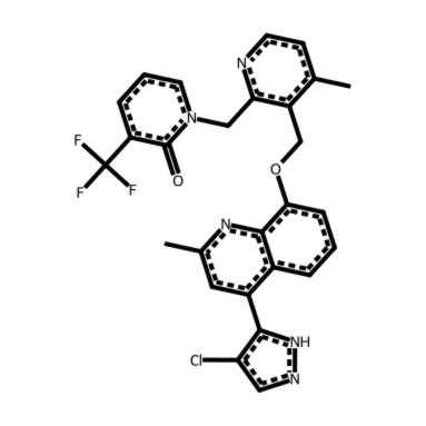 Cc1cc(-c2[nH]ncc2Cl)c2cccc(OCc3c(C)ccnc3Cn3cccc(C(F)(F)F)c3=O)c2n1